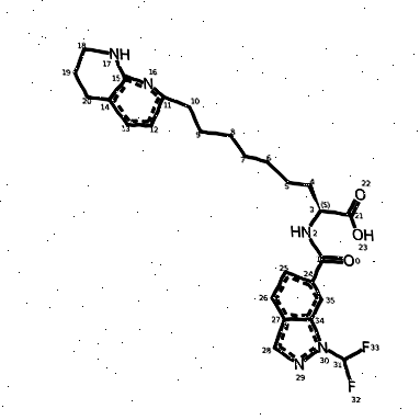 O=C(N[C@@H](CCCCCCCc1ccc2c(n1)NCCC2)C(=O)O)c1ccc2cnn(C(F)F)c2c1